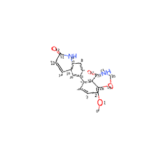 COc1ccc(-c2ccc3[nH]c(=O)ccc3c2)c2c1OCNC2=O